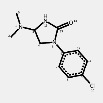 CN(C)C1CN(c2ccc(Cl)cc2)C(=O)N1